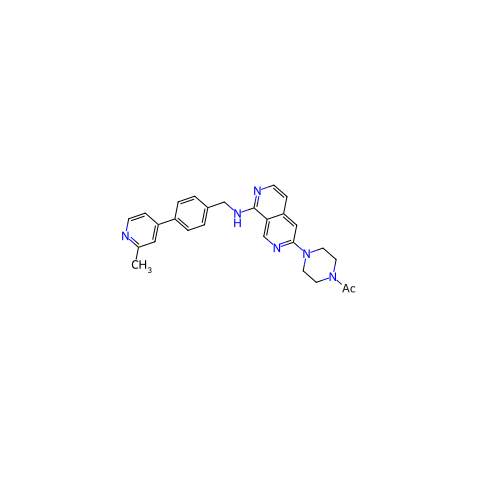 CC(=O)N1CCN(c2cc3ccnc(NCc4ccc(-c5ccnc(C)c5)cc4)c3cn2)CC1